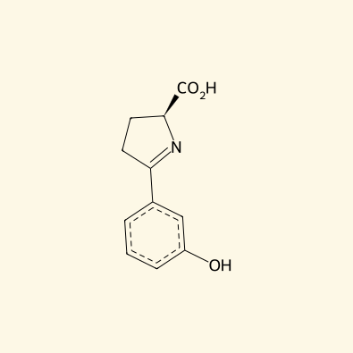 O=C(O)[C@@H]1CCC(c2cccc(O)c2)=N1